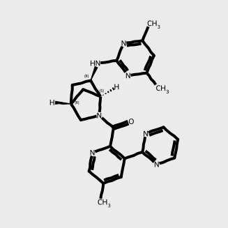 Cc1cnc(C(=O)N2C[C@@H]3C[C@@H](Nc4nc(C)cc(C)n4)[C@@H]2C3)c(-c2ncccn2)c1